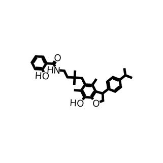 Cc1c(O)c2c(c(C)c1CC(C)(C)CCNC(=O)c1ccccc1O)C(c1ccc(C(C)C)cc1)CO2